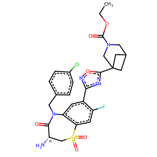 CCOC(=O)N1CC2CC(c3nc(-c4cc5c(cc4F)S(=O)(=O)C[C@H](N)C(=O)N5Cc4ccc(Cl)cc4)no3)(C2)C1